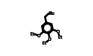 [CH2]CC(C)Cc1cc(OCC)c(OCC)c(OCC)c1